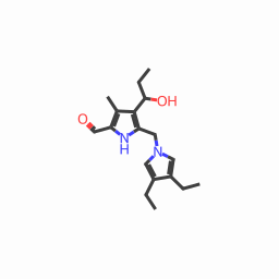 CCc1cn(Cc2[nH]c(C=O)c(C)c2C(O)CC)cc1CC